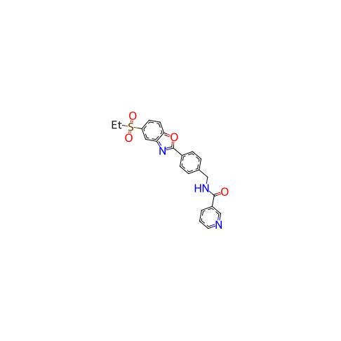 CCS(=O)(=O)c1ccc2oc(-c3ccc(CNC(=O)c4cccnc4)cc3)nc2c1